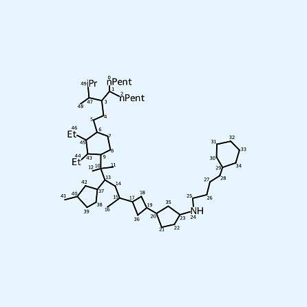 CCCCCC(CCCCC)C(CCC1CCC(C(C)(C)C(CC(C)C2CC(C3CCC(NCCCCC4CCCCC4)C3)C2)C2CCC(C)C2)C(CC)C1CC)C(C)C(C)C